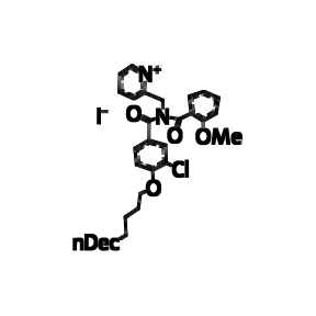 CCCCCCCCCCCCCCOc1ccc(C(=O)N(Cc2cccc[n+]2C)C(=O)c2ccccc2OC)cc1Cl.[I-]